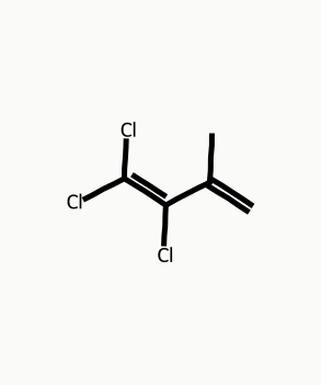 C=C(C)C(Cl)=C(Cl)Cl